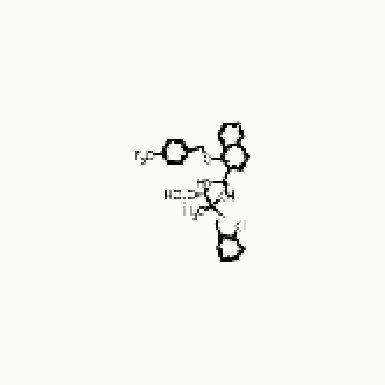 CC(C)(SCc1ccccc1Cl)[C@H](NC(=O)c1ccc2ccccc2c1OCc1ccc(C(F)(F)F)cc1)C(=O)O